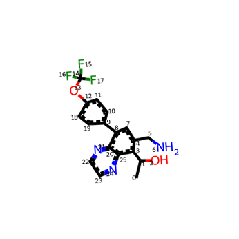 CC(O)c1c(CN)cc(-c2ccc(OC(F)(F)F)cc2)c2nccnc12